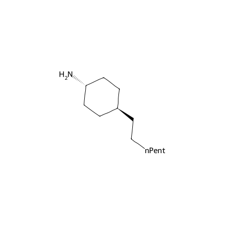 CCCCCCC[C@H]1CC[C@H](N)CC1